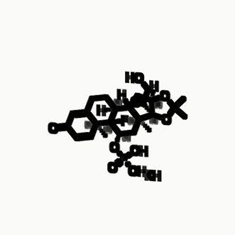 CC1(C)O[C@@H]2C[C@H]3[C@@H]4CCC5=CC(=O)C=C[C@]5(C)[C@@]4(F)[C@@H](OP(=O)(O)O)C[C@]3(C)[C@]2(C(=O)CO)O1.[KH]